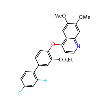 CCOC(=O)c1cc(-c2ccc(F)cc2F)ccc1Oc1ccnc2cc(OC)c(OC)cc12